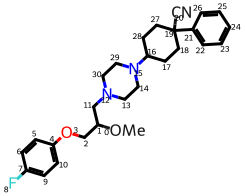 COC(COc1ccc(F)cc1)CN1CCN(C2CCC(C#N)(c3ccccc3)CC2)CC1